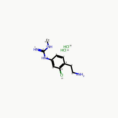 CCNC(=N)Nc1ccc(CCN)c(Cl)c1.Cl.Cl